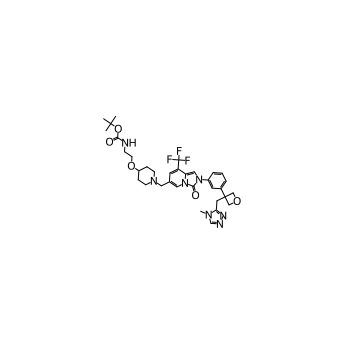 Cn1cnnc1CC1(c2cccc(-n3cc4c(C(F)(F)F)cc(CN5CCC(OCCNC(=O)OC(C)(C)C)CC5)cn4c3=O)c2)COC1